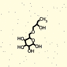 CCC(O)COCC1OC(O)C(O)C(O)C1O